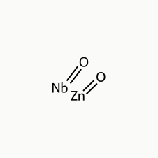 [O]=[Nb].[O]=[Zn]